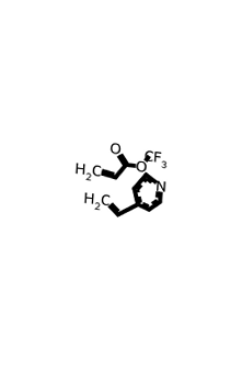 C=CC(=O)OC(F)(F)F.C=Cc1ccncc1